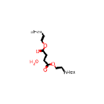 CCCCCCC=COC(=O)CCC(=O)OC=CCCCCCC.O